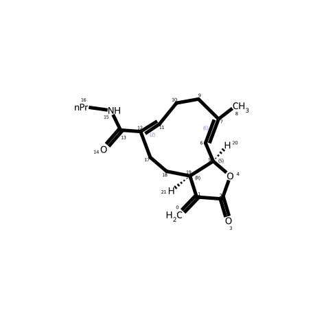 C=C1C(=O)O[C@@H]2/C=C(\C)CC/C=C(\C(=O)NCCC)CC[C@H]12